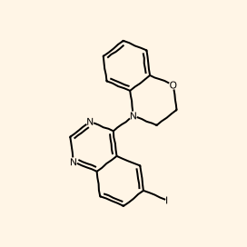 Ic1ccc2ncnc(N3CCOc4ccccc43)c2c1